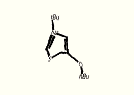 CCCCOc1c[n+](C(C)(C)C)cs1